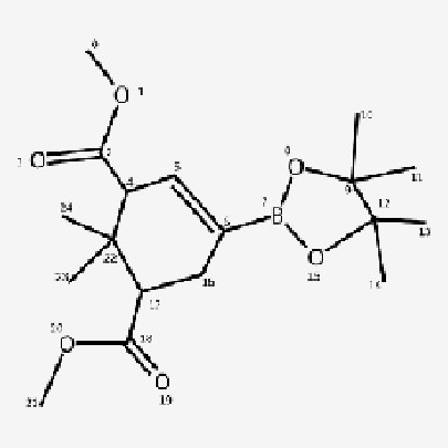 COC(=O)C1C=C(B2OC(C)(C)C(C)(C)O2)CC(C(=O)OC)C1(C)C